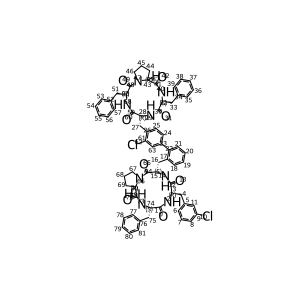 O=C1N[C@H](Cc2cccc(Cl)c2)C(=O)N[C@@H](Cc2ccccc2-c2ccc(C[C@H]3NC(=O)[C@H](Cc4ccccc4)NC(=O)[C@H]4CCCN4C(=O)[C@H](Cc4ccccc4)NC3=O)c(Cl)c2)C(=O)N2CCC[C@@H]2C(=O)N[C@H]1Cc1ccccc1